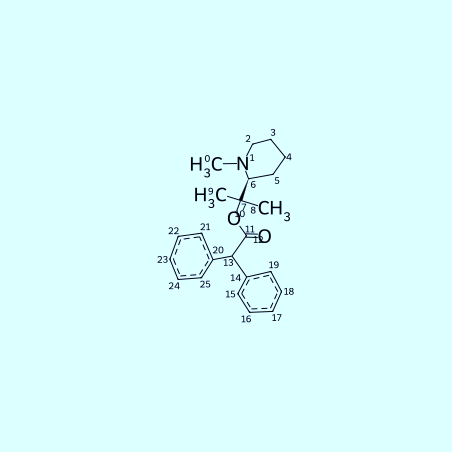 CN1CCCC[C@H]1C(C)(C)OC(=O)C(c1ccccc1)c1ccccc1